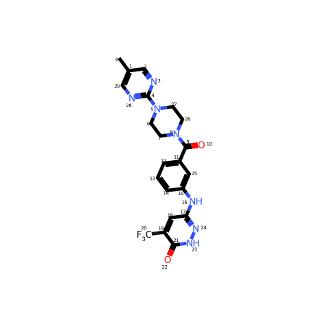 Cc1cnc(N2CCN(C(=O)c3cccc(Nc4cc(C(F)(F)F)c(=O)[nH]n4)c3)CC2)nc1